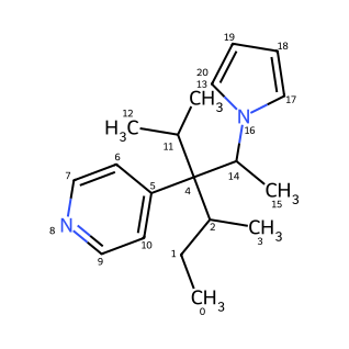 CCC(C)C(c1ccncc1)(C(C)C)C(C)n1cccc1